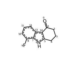 O=C1CCCc2[nH]c3c(F)cccc3c21